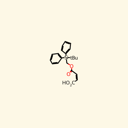 CC(C)(C)[Si](COC(=O)/C=C\C(=O)O)(c1ccccc1)c1ccccc1